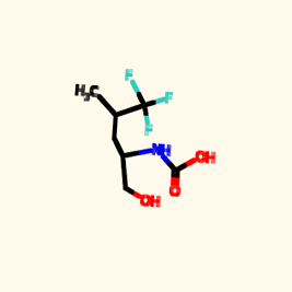 CC(CC(CO)NC(=O)O)C(F)(F)F